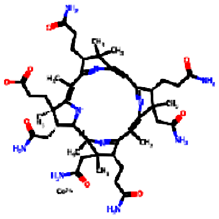 C/C1=C2/[N-][C@H]([C@H](CC(N)=O)[C@@]2(C)CCC(=O)[O-])[C@]2(C)N=C(/C(C)=C3N=C(/C=C4N=C1[C@@H](CCC(N)=O)C\4(C)C)[C@@H](CCC(N)=O)[C@]\3(C)CC(N)=O)[C@@H](CCC(N)=O)[C@]2(C)CC(N)=O.[Co+2]